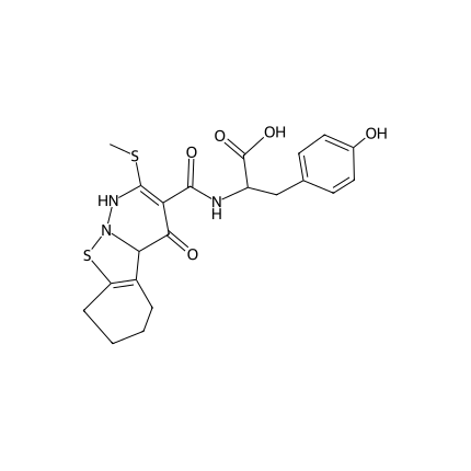 CSC1=C(C(=O)NC(Cc2ccc(O)cc2)C(=O)O)C(=O)C2C3=C(CCCC3)SN2N1